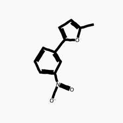 Cc1ccc(-c2cccc([N+](=O)[O-])c2)o1